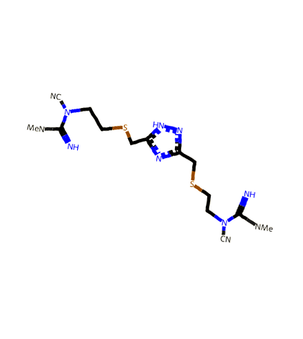 CNC(=N)N(C#N)CCSCc1n[nH]c(CSCCN(C#N)C(=N)NC)n1